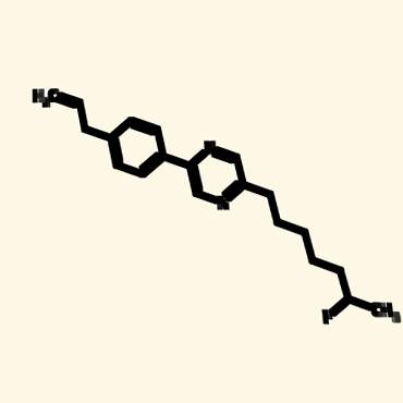 C=CCc1ccc(-c2cnc(CCCCCC(C)F)cn2)cc1